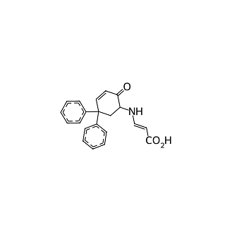 O=C(O)C=CNC1CC(c2ccccc2)(c2ccccc2)C=CC1=O